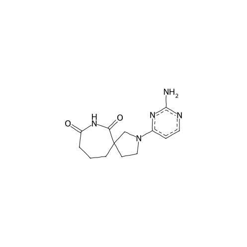 Nc1nccc(N2CCC3(CCCC(=O)NC3=O)C2)n1